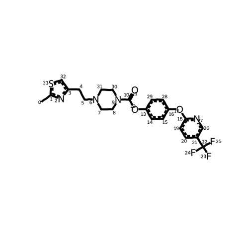 Cc1nc(CCN2CCN(C(=O)Oc3ccc(Oc4ccc(C(F)(F)F)cn4)cc3)CC2)cs1